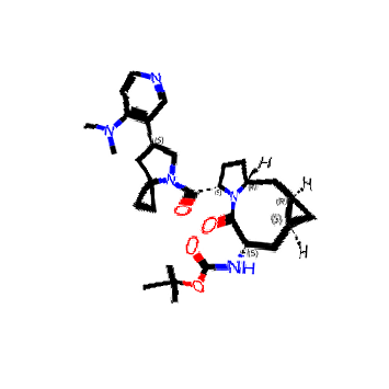 CN(C)c1ccncc1[C@H]1CN(C(=O)[C@@H]2CC[C@@H]3C[C@H]4C[C@H]4C[C@H](NC(=O)OC(C)(C)C)C(=O)N32)C2(CC2)C1